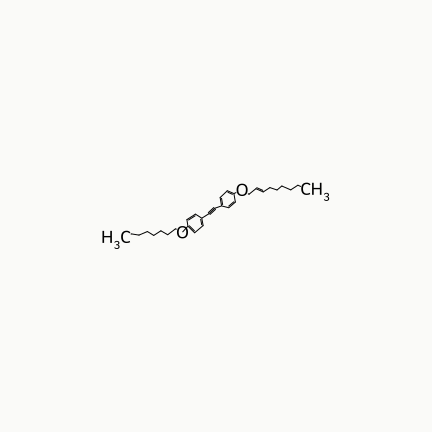 CCCCCCC=CCOc1ccc(C#Cc2ccc(OCCCCCCCC)cc2)cc1